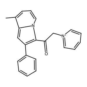 Cc1cccn2c(C(=O)C[n+]3ccccc3)c(-c3ccccc3)cc12